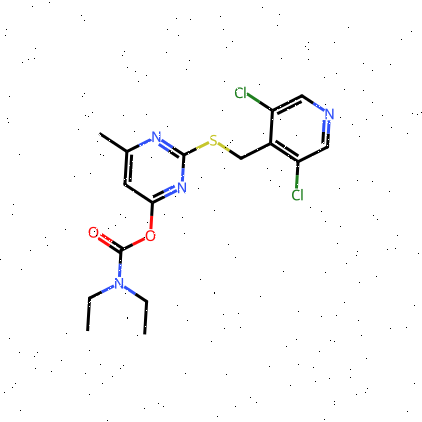 CCN(CC)C(=O)Oc1cc(C)nc(SCc2c(Cl)cncc2Cl)n1